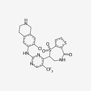 O=C1NCC(c2nc(Nc3cc4c(cc3Cl)CNCC4)ncc2C(F)(F)F)S(=O)(=O)c2ccsc21